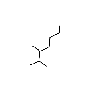 CC[CH]CC(I)C(C)C